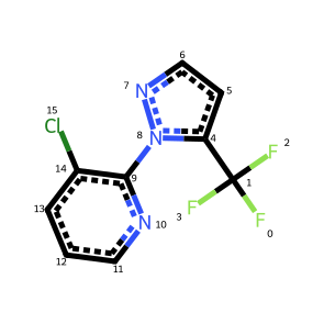 FC(F)(F)c1[c]cnn1-c1ncccc1Cl